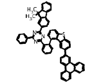 CC1(C)c2ccccc2-c2ccc(-c3nc(-c4ccccc4)nc(-c4ccccc4-c4cccc5sc6ccc(-c7ccc8c9ccccc9c9ccccc9c8c7)cc6c45)n3)cc21